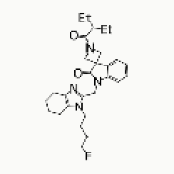 CCC(CC)C(=O)N1CC2(C1)C(=O)N(Cc1nc3c(n1CCCCF)CCCC3)c1ccccc12